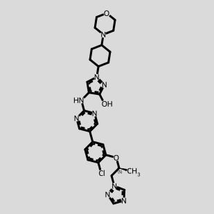 C[C@@H](Cn1cncn1)Oc1cc(-c2cnc(Nc3cn(C4CCC(N5CCOCC5)CC4)nc3O)nc2)ccc1Cl